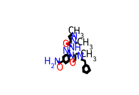 CCn1nc(C)cc1C(=O)Nc1nc2cc(C(N)=O)cc3c2n1[C@@H](CN(C)CCc1ccccc1)CO3